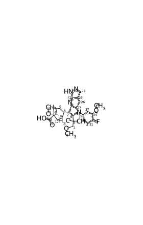 COCC(C)(C)c1c([C@H]2CC[C@](OC)(C(=O)O)CC2)c2nc3[nH]ncc3cc2n1-c1ccc(F)c(OC)c1